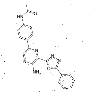 CC(=O)Nc1ccc(-c2cnc(N)c(-c3nnc(-c4ccccc4)o3)n2)cc1